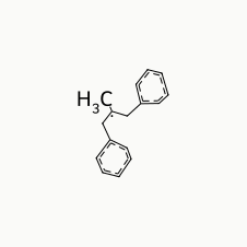 C[C](Cc1ccccc1)Cc1ccccc1